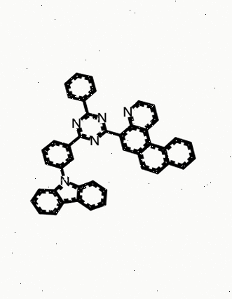 c1ccc(-c2nc(-c3cccc(-n4c5ccccc5c5ccccc54)c3)nc(-c3cc4ccc5ccccc5c4c4cccnc34)n2)cc1